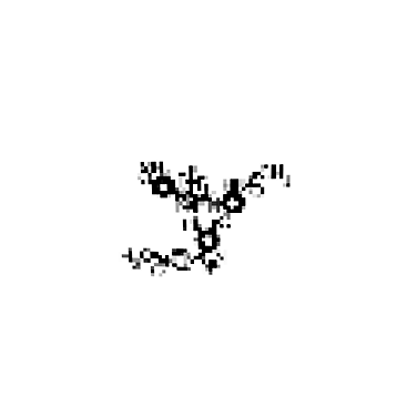 C=CC(=O)N1CCN(c2ncnc3cc(COc4ccc(NC(=O)CC)cc4NC(=O)c4cnn(-c5ccc(OC)cc5)c4C(F)(F)F)c(Cl)cc23)CC1